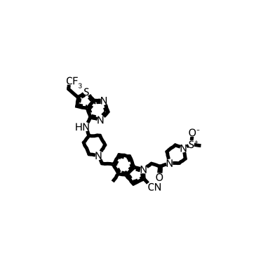 Cc1c(CN2CCC(Nc3ncnc4sc(CC(F)(F)F)cc34)CC2)ccc2c1cc(C#N)n2CC(=O)N1CCN([S+](C)[O-])CC1